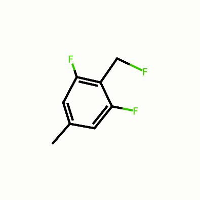 Cc1cc(F)c(CF)c(F)c1